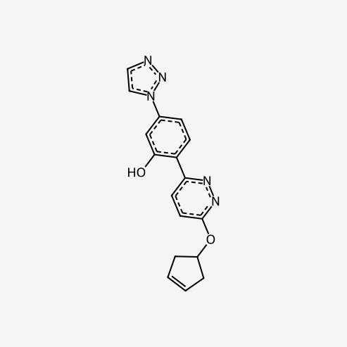 Oc1cc(-n2ccnn2)ccc1-c1ccc(OC2CC=CC2)nn1